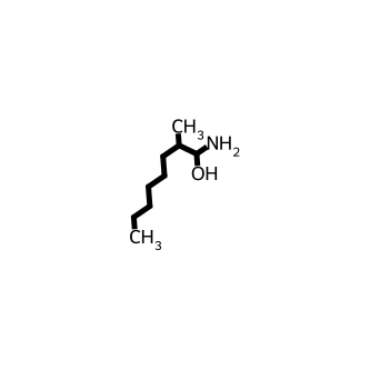 CCCCCCC(C)C(N)O